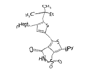 CCCCCCCc1cc(-c2sc(C(C)C)c3c2C(=O)NS3(=O)=O)sc1C(C)(C)CC